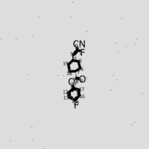 N#CC(F)=C[C@H]1CC[C@H](C(=O)Oc2ccc(F)cc2)CC1